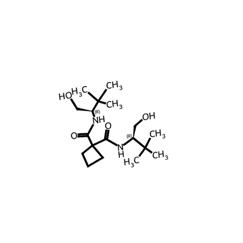 CC(C)(C)[C@H](CO)NC(=O)C1(C(=O)N[C@@H](CO)C(C)(C)C)CCC1